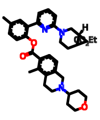 CCOC(=O)[C@@]12CCN(c3cccc(-c4cc(C)ccc4OC(=O)c4ccc5c(c4C)CCN(C4CCOCC4)C5)n3)C[C@@H]1C2